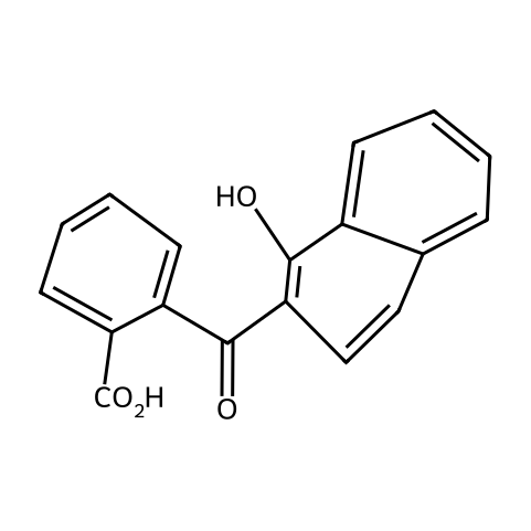 O=C(O)c1ccccc1C(=O)c1ccc2ccccc2c1O